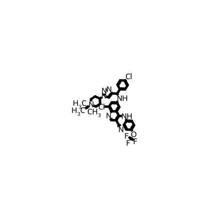 CC(C)(C)N1CCC(n2cc(C(Nc3cc(Cl)c4ncc(C#N)c(Nc5ccc(OC(F)(F)F)cc5)c4c3)c3ccc(Cl)cc3)nn2)CC1